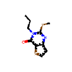 CCCn1c(SC)nc2ccsc2c1=O